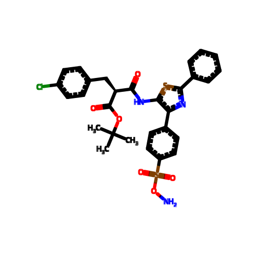 CC(C)(C)OC(=O)[C@@H](Cc1ccc(Cl)cc1)C(=O)Nc1sc(-c2ccccc2)nc1-c1ccc(S(=O)(=O)ON)cc1